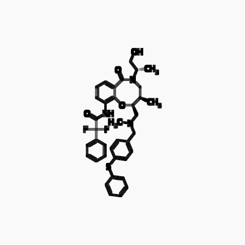 C[C@@H]1CN([C@@H](C)CO)C(=O)c2cccc(NC(=O)C(F)(F)c3ccccc3)c2O[C@@H]1CN(C)Cc1ccc(Sc2ccccc2)cc1